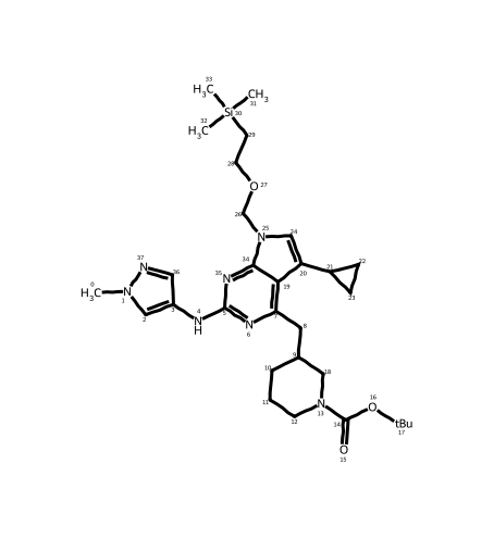 Cn1cc(Nc2nc(CC3CCCN(C(=O)OC(C)(C)C)C3)c3c(C4CC4)cn(COCC[Si](C)(C)C)c3n2)cn1